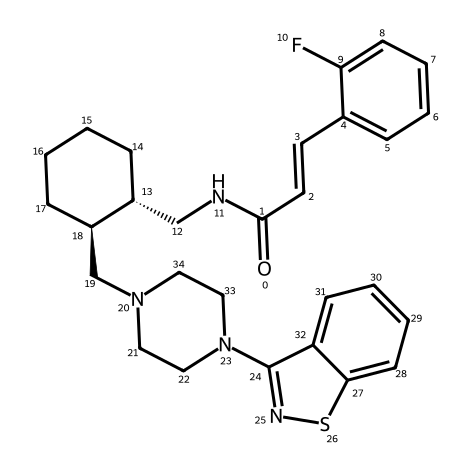 O=C(/C=C/c1ccccc1F)NC[C@H]1CCCC[C@@H]1CN1CCN(c2nsc3ccccc23)CC1